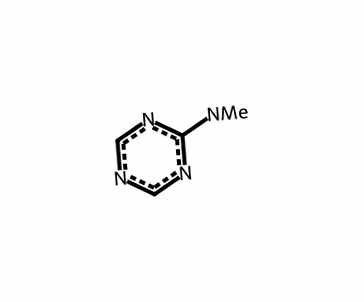 [CH2]Nc1ncncn1